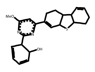 COc1cc(C2=CC3SC4CCC=CC4C3CC2)nc(C2C=CC=CC2O)n1